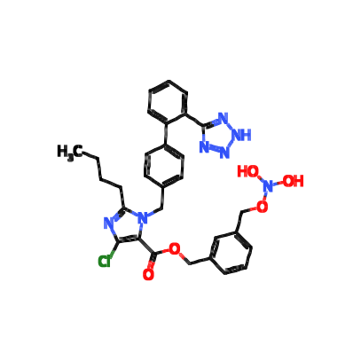 CCCCc1nc(Cl)c(C(=O)OCc2cccc(CON(O)O)c2)n1Cc1ccc(-c2ccccc2-c2nn[nH]n2)cc1